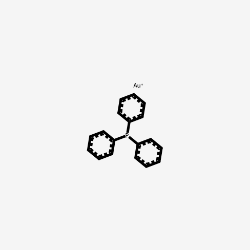 [Au+].c1ccc(P(c2ccccc2)c2ccccc2)cc1